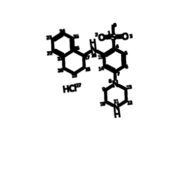 CS(=O)(=O)c1ccc(N2CCNCC2)cc1NC1CCCc2ccccc21.Cl